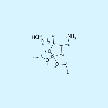 CCO[Si](CCCN)(OCC)OCC.Cl.N